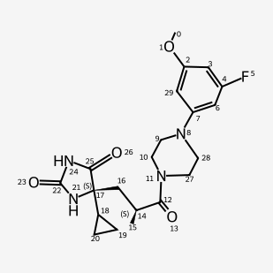 COc1cc(F)cc(N2CCN(C(=O)[C@@H](C)C[C@@]3(C4CC4)NC(=O)NC3=O)CC2)c1